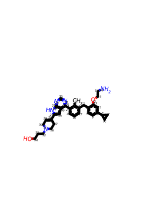 Cc1c(Cc2ccc(C3CC3)cc2OCCN)cccc1-c1ncnc2[nH]c(C3=CCN(CCCO)CC3)cc12